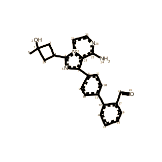 CC1(O)CC(c2nc(-c3ccc(-c4ccccc4C=O)cc3)c3c(N)nccn23)C1